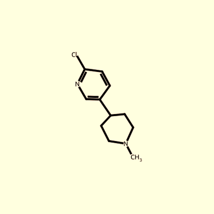 CN1CCC(c2ccc(Cl)nc2)CC1